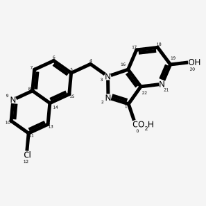 O=C(O)c1nn(Cc2ccc3ncc(Cl)cc3c2)c2ccc(O)nc12